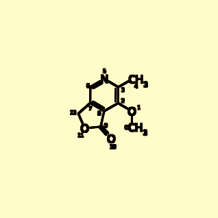 COc1c(C)ncc2c1C(=O)OC2